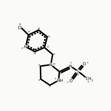 CS(=O)(=O)N=C1NCCCN1Cc1ccc(Cl)nc1